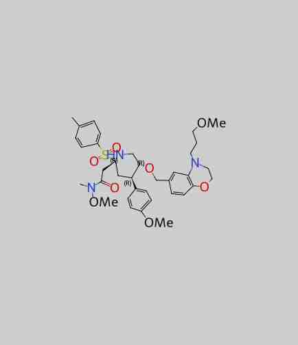 COCCCN1CCOc2ccc(CO[C@H]3CN[C@@](CC(=O)N(C)OC)(S(=O)(=O)c4ccc(C)cc4)C[C@@H]3c3ccc(OC)cc3)cc21